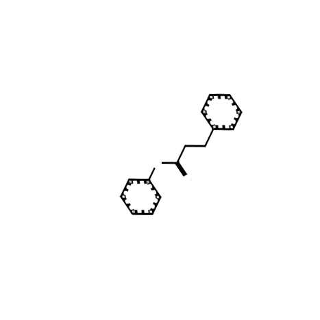 O=C(CCc1ccccc1)Oc1cc[c]cc1